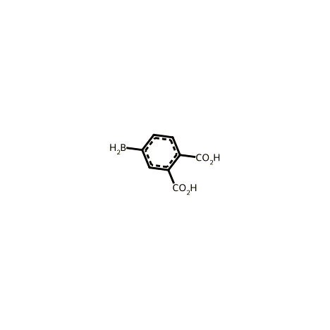 Bc1ccc(C(=O)O)c(C(=O)O)c1